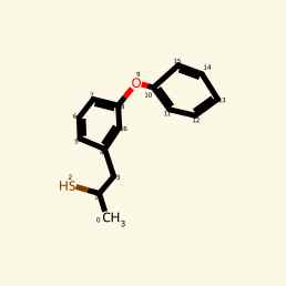 CC(S)Cc1cccc(Oc2ccccc2)c1